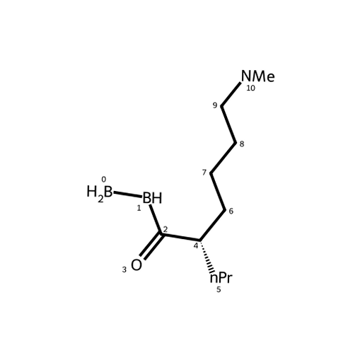 BBC(=O)[C@@H](CCC)CCCCNC